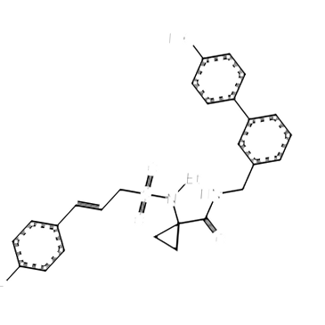 CCN(C1(C(=O)NCc2cccc(-c3ccc(C(F)(F)F)cc3)c2)CC1)S(=O)(=O)CC=Cc1ccc(F)cc1